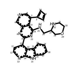 C1=CC(c2cncc3nc(-c4ccnc5[nH]c6ccccc6c45)nc(NCC4COCCN4)c23)=C1